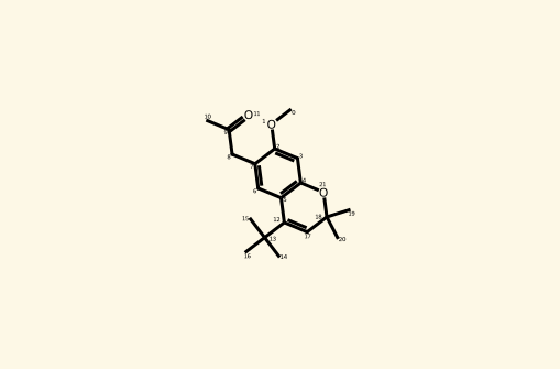 COc1cc2c(cc1CC(C)=O)C(C(C)(C)C)=CC(C)(C)O2